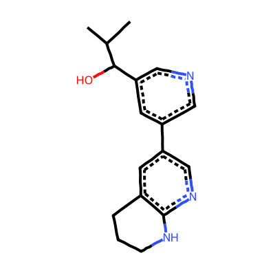 CC(C)C(O)c1cncc(-c2cnc3c(c2)CCCN3)c1